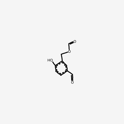 O=COCc1cc(C=O)ccc1O